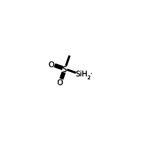 CS(=O)(=O)[SiH2]